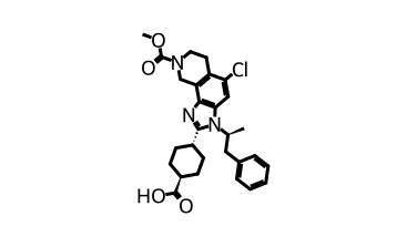 COC(=O)N1CCc2c(Cl)cc3c(nc([C@H]4CC[C@H](C(=O)O)CC4)n3[C@@H](C)Cc3ccccc3)c2C1